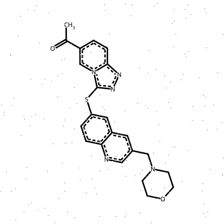 CC(=O)c1ccc2nnc(Sc3ccc4ncc(CN5CCOCC5)cc4c3)n2c1